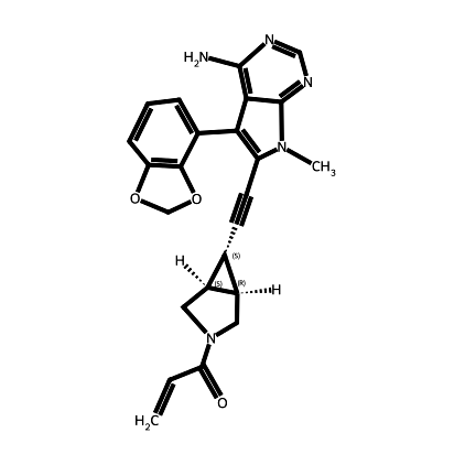 C=CC(=O)N1C[C@@H]2[C@@H](C#Cc3c(-c4cccc5c4OCO5)c4c(N)ncnc4n3C)[C@@H]2C1